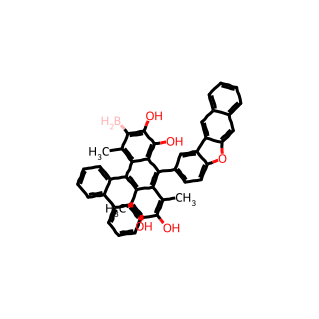 Bc1c(O)c(O)c2c(-c3ccc4oc5cc6ccccc6cc5c4c3)c3c(C)c(O)c(O)c(C)c3c(-c3ccccc3-c3ccccc3)c2c1C